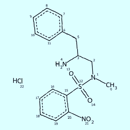 CN(CC(N)Cc1ccccc1)S(=O)(=O)c1ccccc1[N+](=O)[O-].Cl